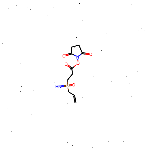 C=CCS(=N)(=O)CCC(=O)ON1C(=O)CCC1=O